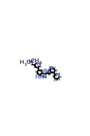 CN(C)Cc1cncc(-c2ccc3[nH]nc(-c4cc5c(-c6ccccn6)ccnc5[nH]4)c3c2)c1